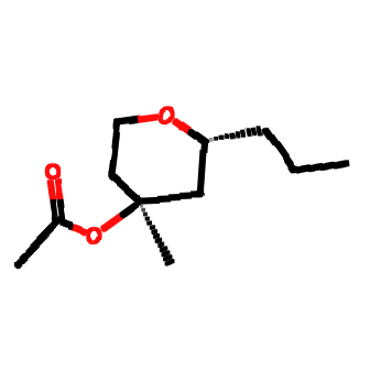 CCC[C@@H]1C[C@@](C)(OC(C)=O)CCO1